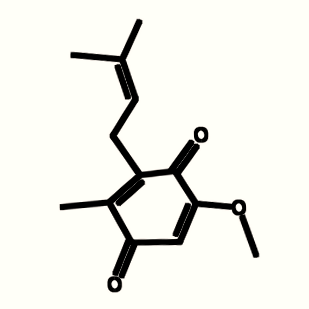 COC1=CC(=O)C(C)=C(CC=C(C)C)C1=O